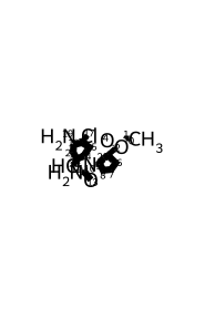 CCOC(=O)c1cccc(N(C(N)=O)c2cc(Cl)c(N)cc2O)c1